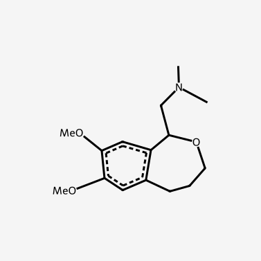 COc1cc2c(cc1OC)C(CN(C)C)OCCC2